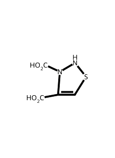 O=C(O)C1=CSNN1C(=O)O